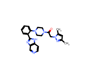 Cc1cc(C)n(CC(=O)N2CCN(c3ccccc3-c3nc4cnccc4[nH]3)CC2)n1